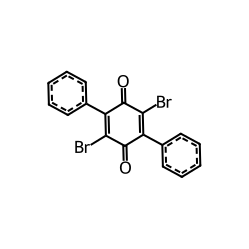 O=C1C(Br)=C(c2ccccc2)C(=O)C(Br)=C1c1ccccc1